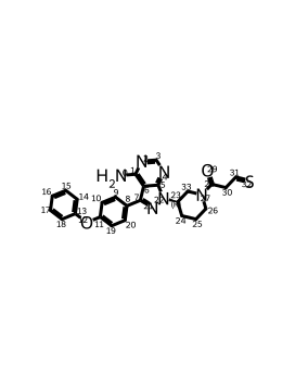 Nc1ncnc2c1c(-c1ccc(Oc3ccccc3)cc1)nn2[C@@H]1CCCN(C(=O)CC=S)C1